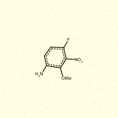 COc1c(N)ccc(F)c1[N+](=O)[O-]